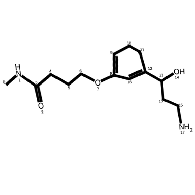 CNC(=O)CCCOC1=CCCC(C(O)CCN)=C1